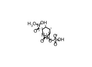 CN(O)C(=O)[C@@H]1CCC2CN1C(=O)N2OS(=O)(=O)O